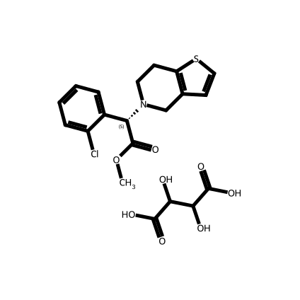 COC(=O)[C@H](c1ccccc1Cl)N1CCc2sccc2C1.O=C(O)C(O)C(O)C(=O)O